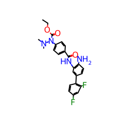 CCOC(=O)N(c1ccc(C(=O)Nc2cc(-c3ccc(F)cc3F)ccc2N)cc1)N(C)C